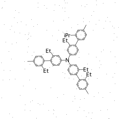 CCc1cc(C)ccc1-c1ccc(N(c2ccc(-c3ccc(C)cc3CC)c(CC)c2)c2ccc(-c3ccc(C)cc3C(C)C)c(CC)c2)cc1CC